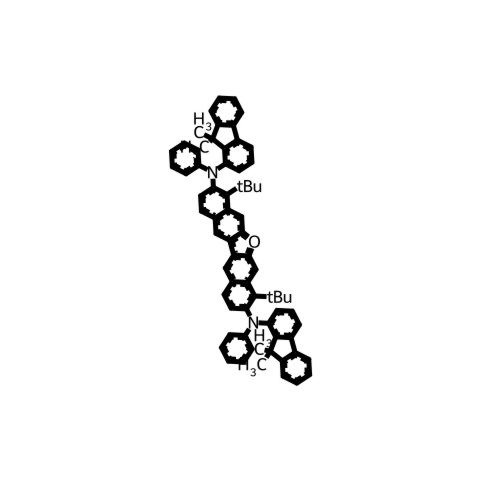 CC(C)(C)c1c(N(c2ccccc2)c2cccc3c2C(C)(C)c2ccccc2-3)ccc2cc3c(cc12)oc1cc2c(C(C)(C)C)c(N(c4ccccc4)c4cccc5c4C(C)(C)c4ccccc4-5)ccc2cc13